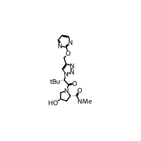 CNC(=O)[C@@H]1C[C@@H](O)CN1C(=O)[C@@H](n1cc(COc2ncccn2)nn1)C(C)(C)C